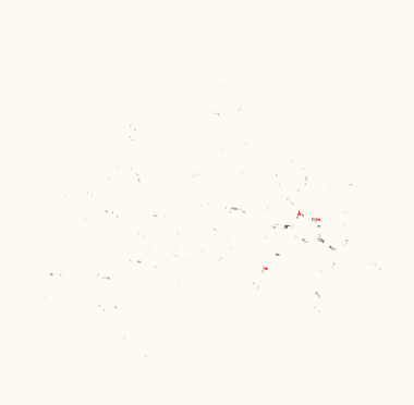 N#Cc1ccc2c(c1)c1cc(C#N)ccc1n2-c1ccccc1-c1ccc(-c2cc(-c3ccccc3)nc(-c3cccc(-c4cc(C#N)cc5c6ccccc6n(-c6ccccc6-c6ccc(-c7cc(-c8ccccc8)nc(-c8ccccc8)n7)cc6-n6c7ccccc7c7cc(C#N)ccc76)c45)c3)n2)cc1-n1c2ccc(C#N)cc2c2cc(C#N)ccc21